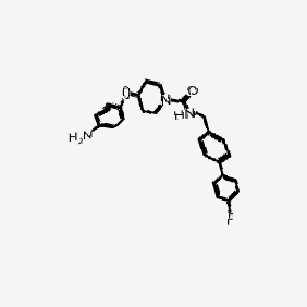 Nc1ccc(OC2CCN(C(=O)NCc3ccc(-c4ccc(F)cc4)cc3)CC2)cc1